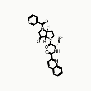 CC(C)C[C@H](NC(=O)c1ccc2ccccc2n1)C(=O)N1CC[C@@H]2[C@H]1C(=O)CN2C(=O)c1cccnc1